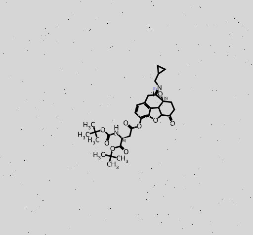 CC(C)(C)OC(=O)N[C@@H](CC(=O)Oc1ccc2c3c1OC1C(=O)CC[C@@](O)(/C(=N/CC4CC4)C2)C31)C(=O)OC(C)(C)C